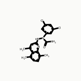 Cc1ccc(C)c2c(C)cc(NN(C(N)=O)c3cc(Cl)cc(Cl)c3)nc12